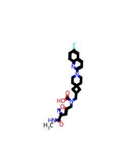 CNC(=O)c1cc(CN(CC2CC3(CCN(c4ccc5cc(F)ccc5n4)CC3)C2)C(=O)O)on1